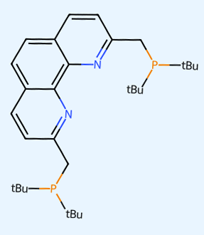 CC(C)(C)P(Cc1ccc2ccc3ccc(CP(C(C)(C)C)C(C)(C)C)nc3c2n1)C(C)(C)C